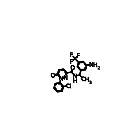 C[C@@H](NC(=O)c1ccc(=O)n(-c2ccccc2Cl)n1)c1cc(N)cc(C(F)(F)F)c1